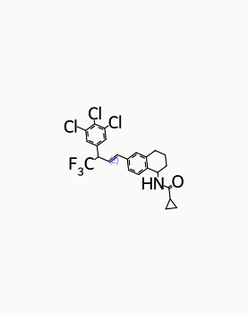 O=C(NC1CCCc2cc(/C=C/C(c3cc(Cl)c(Cl)c(Cl)c3)C(F)(F)F)ccc21)C1CC1